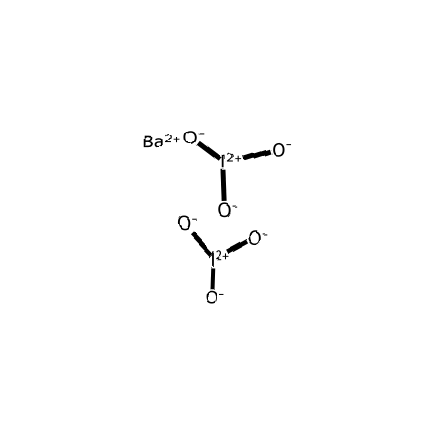 [Ba+2].[O-][I+2]([O-])[O-].[O-][I+2]([O-])[O-]